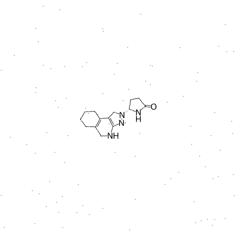 O=C1CC[C@@H](N2CC3=C([N]2)NCC2=C3CCCC2)N1